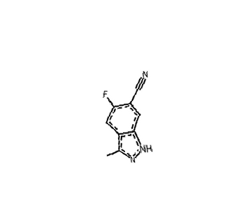 Cc1n[nH]c2cc(C#N)c(F)cc12